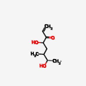 [CH2]C(O)C(C)CC(O)C(=O)C=C